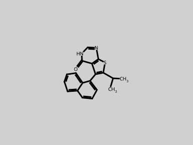 CC(C)c1sc2nc[nH]c(=O)c2c1-c1cccc2ccccc12